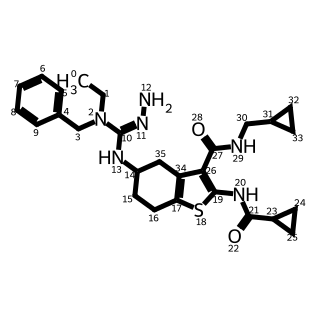 CCN(Cc1ccccc1)C(=NN)NC1CCc2sc(NC(=O)C3CC3)c(C(=O)NCC3CC3)c2C1